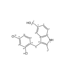 Cc1[nH]c2ccc(C(=O)O)cc2c1Cc1ccc(Cl)cc1Cl